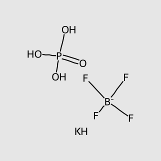 F[B-](F)(F)F.O=P(O)(O)O.[KH]